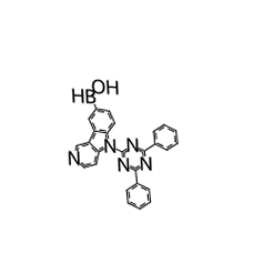 OBc1ccc2c(c1)c1cnccc1n2-c1nc(-c2ccccc2)nc(-c2ccccc2)n1